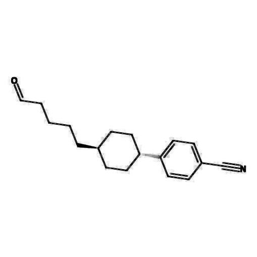 N#Cc1ccc([C@H]2CC[C@H](CCCCC=O)CC2)cc1